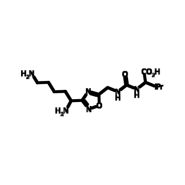 CC(C)C(NC(=O)NCc1nc(C(N)CCCCN)no1)C(=O)O